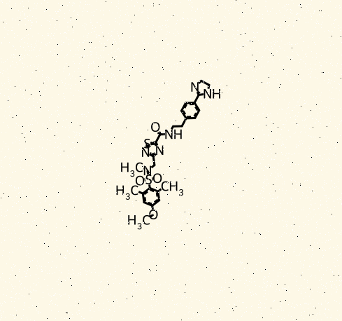 COc1cc(C)c(S(=O)(=O)N(C)Cc2nsc(C(=O)NCCc3ccc(C4=NCCN4)cc3)n2)c(C)c1